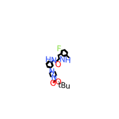 Cc1ccc(F)c2c1NC(C(=O)Nc1cccc(N3CCN(C(=O)OC(C)(C)C)CC3)c1)C2